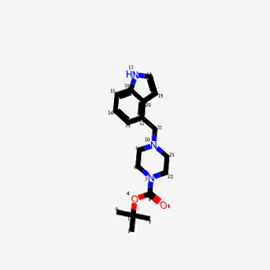 CC(C)(C)OC(=O)N1CCN(Cc2cccc3[nH]ccc23)CC1